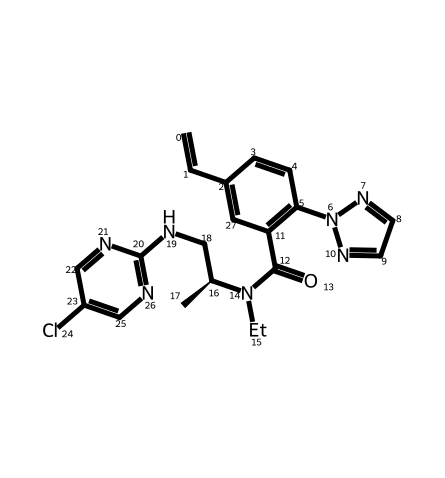 C=Cc1ccc(-n2nccn2)c(C(=O)N(CC)[C@@H](C)CNc2ncc(Cl)cn2)c1